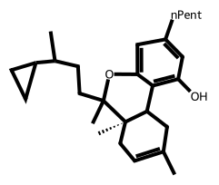 CCCCCc1cc(O)c2c(c1)OC(C)(CCC(C)C1CC1)[C@]1(C)CC=C(C)CC21